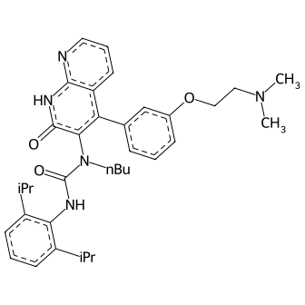 CCCCN(C(=O)Nc1c(C(C)C)cccc1C(C)C)c1c(-c2cccc(OCCN(C)C)c2)c2cccnc2[nH]c1=O